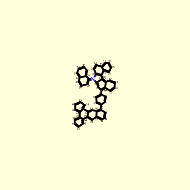 c1cc(-c2ccc(-c3cc4c(c5ccccc35)c3c5ccccc5ccc3n4-c3cccc4ccccc34)cc2)c2cc3c4ccccc4c4ccccc4c3cc2c1